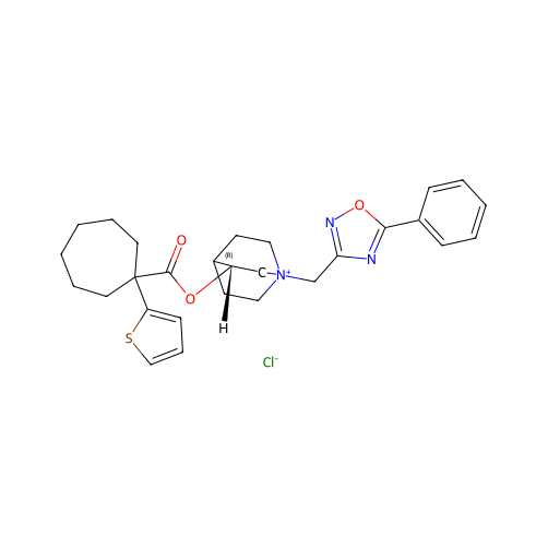 O=C(O[C@H]1C[N+]2(Cc3noc(-c4ccccc4)n3)CCC1CC2)C1(c2cccs2)CCCCCC1.[Cl-]